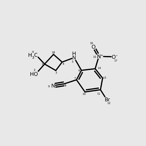 CC1(O)CC(Nc2c(C#N)cc(Br)cc2[N+](=O)[O-])C1